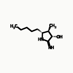 CCCCC[C@H]1NC(=N)[C@@H](O)[C@@H]1C